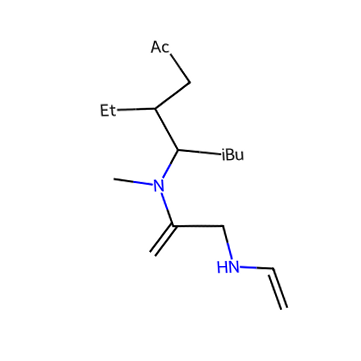 C=CNCC(=C)N(C)C(C(C)CC)C(CC)CC(C)=O